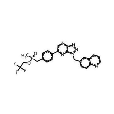 CP(=O)(Cc1ccc(-c2cnc3nnn(Cc4ccc5ncccc5c4)c3n2)cc1)OCC(F)(F)F